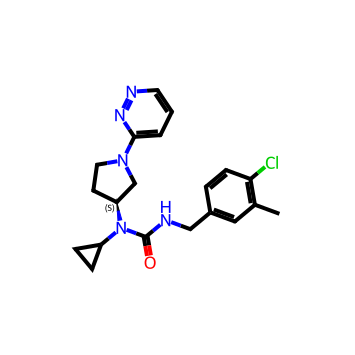 Cc1cc(CNC(=O)N(C2CC2)[C@H]2CCN(c3cccnn3)C2)ccc1Cl